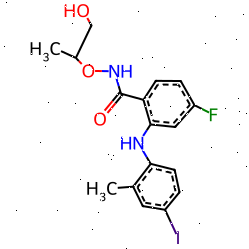 Cc1cc(I)ccc1Nc1cc(F)ccc1C(=O)NOC(C)CO